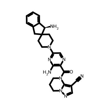 N#Cc1cnn2c1N(C(=O)c1ncc(N3CCC4(CC3)Cc3ccccc3[C@H]4N)nc1N)CCC2